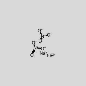 O=[N+]([O-])[O-].O=[N+]([O-])[O-].[Fe+2].[Na+]